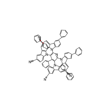 N#Cc1ccc2c(c1)c1cc(C#N)ccc1n2-c1c(-n2c3ccc(-c4ccccc4)cc3c3cc(-c4ccccc4)ccc32)nc(-n2c3ccc(-c4ccccc4)cc3c3cc(-c4ccccc4)ccc32)c(-n2c3ccc(C#N)cc3c3cc(C#N)ccc32)c1-c1ccccc1